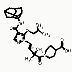 CC(C)COc1c(C(=O)NC2C3CC4CC(C3)CC2C4)cnn1/C=C/C(C)(C)C(=O)N1CCC(C(=O)O)CC1